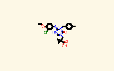 CCOc1ccc(/N=C2\NCN(CC3(C(=O)O)CC3)C(=O)N2Cc2ccc(C)cc2)cc1Cl